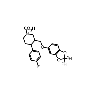 [2H]C1([2H])Oc2ccc(OCC3CN(C(=O)O)CCC3c3ccc(F)cc3)cc2O1